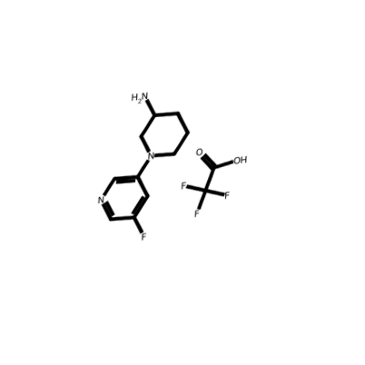 NC1CCCN(c2cncc(F)c2)C1.O=C(O)C(F)(F)F